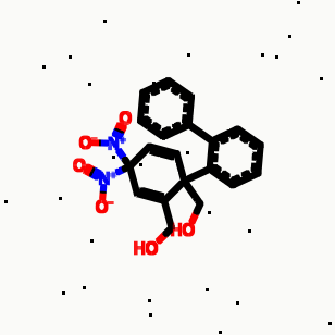 O=[N+]([O-])C1([N+](=O)[O-])C=CC(CO)(c2ccccc2-c2ccccc2)C(CO)=C1